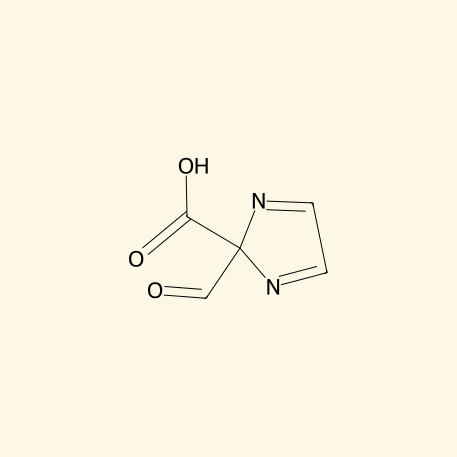 O=CC1(C(=O)O)N=CC=N1